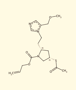 C=CCOC(=O)N1C[C@@H](SC(C)=O)C[C@H]1CCn1cncc1COC